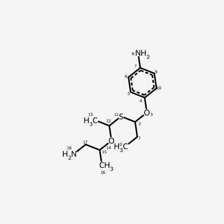 CCC(Oc1ccc(N)cc1)SC(C)OC(C)CN